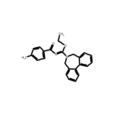 CCO/C(=N\C(=O)c1ccc(C)cc1)N1Cc2ccccc2-c2ccccc2C1